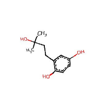 CC(C)(O)CCc1cc(O)ccc1O